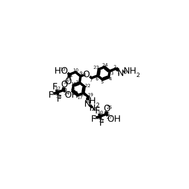 NN=Cc1ccc(COC(CC(=O)O)c2cccc(C=NN)c2)cc1.O=C(O)C(F)(F)F.O=C(O)C(F)(F)F